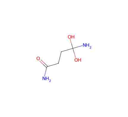 NC(=O)CCC(N)(O)O